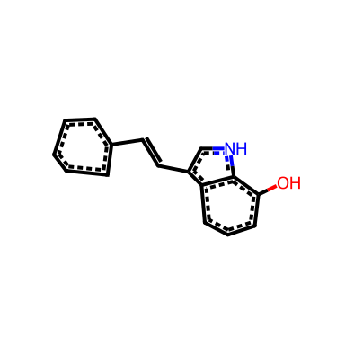 Oc1cccc2c(C=Cc3ccccc3)c[nH]c12